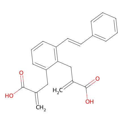 C=C(Cc1cccc(C=Cc2ccccc2)c1CC(=C)C(=O)O)C(=O)O